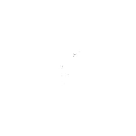 CCCCCCCCCCCCCCN(CCCCCCCCCCCCCC)C(=O)COC(C)CCOC(C)(C)C